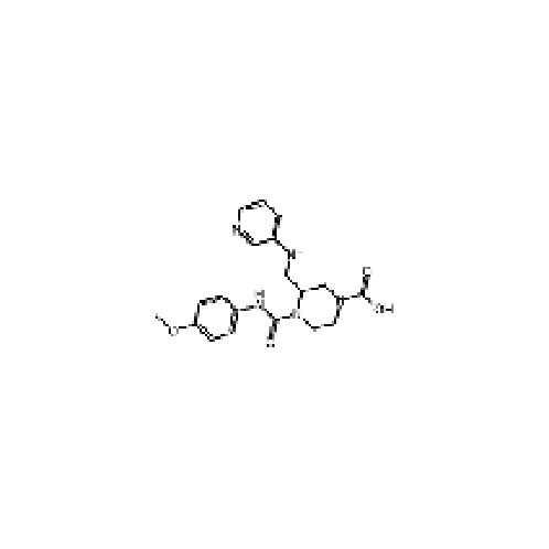 COc1ccc(NC(=O)N2CCN(C(=O)O)CC2CNc2cccnc2)cc1